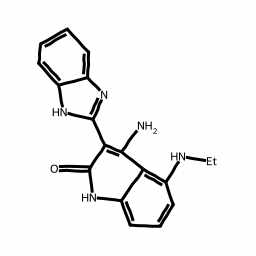 CCNc1cccc2[nH]c(=O)c(-c3nc4ccccc4[nH]3)c(N)c12